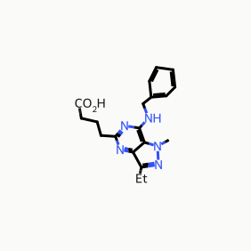 CCc1nn(C)c2c(NCc3ccccc3)nc(CCCC(=O)O)nc12